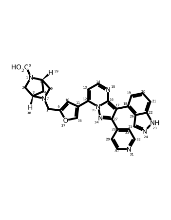 O=C(O)N1C[C@@H]2C[C@H]1CN2Cc1cc(-c2ccnc3c(-c4cccc5[nH]ncc45)c(-c4ccncc4)nn23)co1